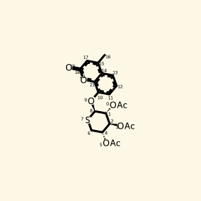 CC(=O)O[C@@H]1[C@@H](OC(C)=O)[C@H](OC(C)=O)CS[C@H]1Oc1cccc2c(C)cc(=O)oc12